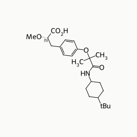 CO[C@@H](Cc1ccc(OC(C)(C)C(=O)NC2CCC(C(C)(C)C)CC2)cc1)C(=O)O